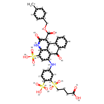 Cc1ccc(COC(=O)c2c3c4c(c(Nc5ccc(S(=O)(=O)O)c(S(=O)(=O)CCCC(=O)O)c5)cc(S(=O)(=O)O)c4[nH]c2=O)C(=O)c2ccccc2-3)cc1